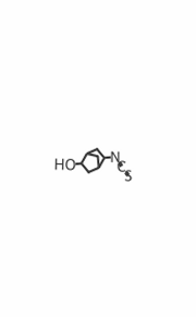 OC1CC2CC1CC2N=C=S